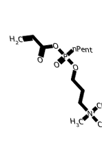 C=CC(=O)OP(=O)(CCCCC)OCCC[N+](C)(C)C